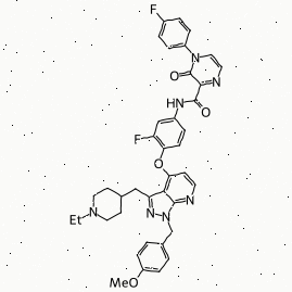 CCN1CCC(Cc2nn(Cc3ccc(OC)cc3)c3nccc(Oc4ccc(NC(=O)c5nccn(-c6ccc(F)cc6)c5=O)cc4F)c23)CC1